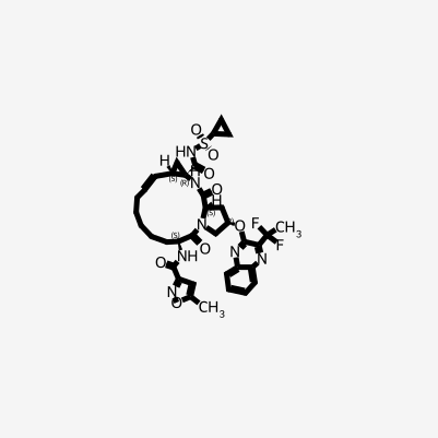 Cc1cc(C(=O)N[C@H]2CCCCCC=C[C@@H]3C[C@@]3(C(=O)NS(=O)(=O)C3CC3)NC(=O)[C@@H]3C[C@@H](Oc4nc5ccccc5nc4C(C)(F)F)CN3C2=O)no1